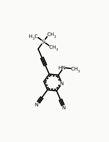 CNc1nc(C#N)c(C#N)cc1C#CC[Si](C)(C)C